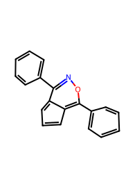 c1ccc(-c2noc(-c3ccccc3)c3cccc2-3)cc1